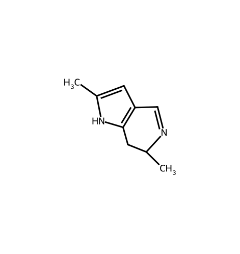 Cc1cc2c([nH]1)CC(C)N=C2